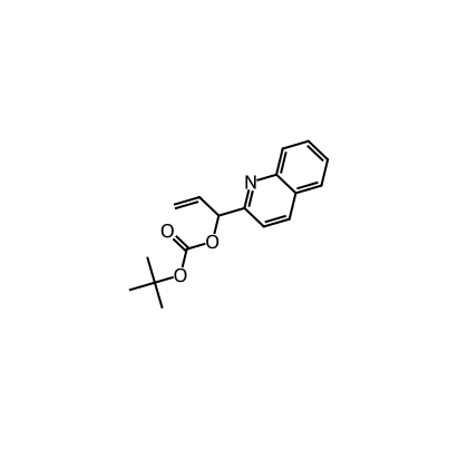 C=CC(OC(=O)OC(C)(C)C)c1ccc2ccccc2n1